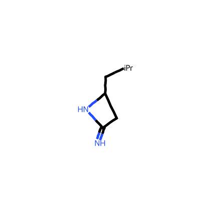 CC(C)CC1CC(=N)N1